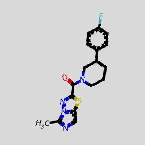 Cc1ncc2sc(C(=O)N3CCCC(c4ccc(F)cc4)C3)nn12